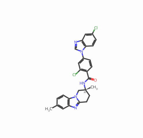 Cc1ccc2c(c1)nc1n2C[C@](C)(NC(=O)c2ccc(-n3cnc4cc(Cl)ccc43)cc2Cl)CC1